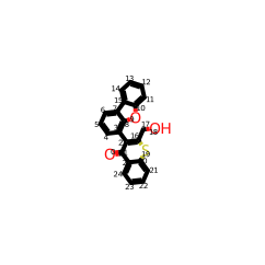 O=c1c(-c2cccc3c2oc2ccccc23)c(CO)sc2ccccc12